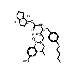 CCCCOc1ccc(C[C@H](NC(=O)O[C@H]2CO[C@H]3OCC[C@H]32)[C@H](O)CN(CC(C)C)[S+]([O-])c2ccc(OC)cc2)cc1